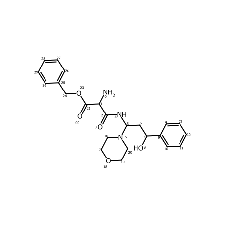 NC(C(=O)NC(CC(O)c1ccccc1)N1CCOCC1)C(=O)OCc1ccccc1